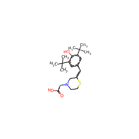 CC(C)(C)c1cc(C=C2CN(CC(=O)O)CCS2)cc(C(C)(C)C)c1O